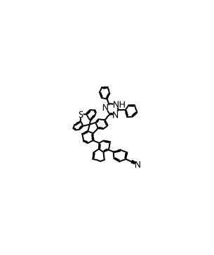 N#Cc1ccc(-c2ccc(-c3cccc4c3-c3ccc(C5=NC(c6ccccc6)NC(c6ccccc6)=N5)cc3C43c4ccccc4Sc4ccccc43)c3c2CCC=C3)cc1